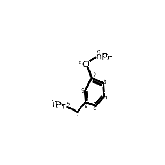 CCCOc1c[c]cc(CC(C)C)c1